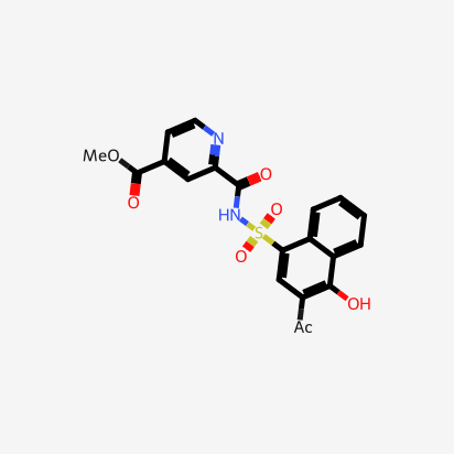 COC(=O)c1ccnc(C(=O)NS(=O)(=O)c2cc(C(C)=O)c(O)c3ccccc23)c1